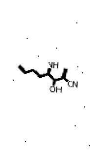 C=CCCC(=N)C(O)C(=C)C#N